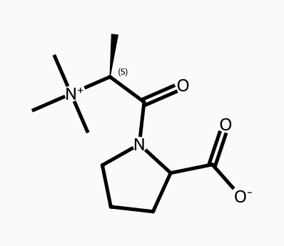 C[C@@H](C(=O)N1CCCC1C(=O)[O-])[N+](C)(C)C